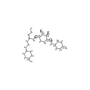 CCCC(CCCC1CCC(C)CC1)COC1CCC(OCC2CCC(C)CC2)C(F)C1F